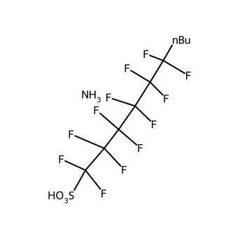 CCCCC(F)(F)C(F)(F)C(F)(F)C(F)(F)C(F)(F)C(F)(F)S(=O)(=O)O.N